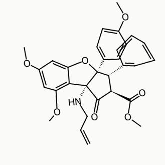 C=CCN[C@@]12C(=O)[C@H](C(=O)OC)[C@@H](c3ccccc3)[C@]1(c1ccc(OC)cc1)Oc1cc(OC)cc(OC)c12